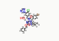 CC(C)(C)C[C@]1(c2ccc(Br)cc2)NC(=NC(=O)OCc2ccccc2)N([C@H](CO)c2ccc(Cl)c(-n3cncn3)c2)C1=O